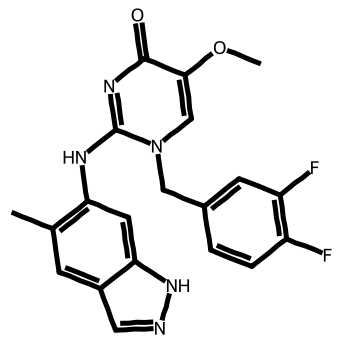 COc1cn(Cc2ccc(F)c(F)c2)c(Nc2cc3[nH]ncc3cc2C)nc1=O